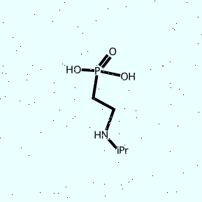 CC(C)NCCP(=O)(O)O